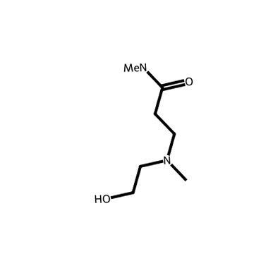 CNC(=O)CCN(C)CCO